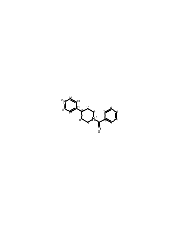 O=C(c1ccccc1)N1CCC(c2ccncc2)CC1